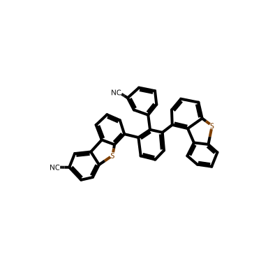 N#Cc1cccc(-c2c(-c3cccc4c3sc3ccc(C#N)cc34)cccc2-c2cccc3sc4ccccc4c23)c1